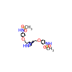 CS(=O)(=O)Nc1ccc(OCCC2NCC3CN(CCOc4ccc(NS(C)(=O)=O)cc4)CC2C32CCCC2)cc1